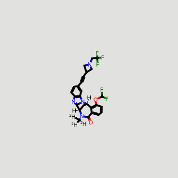 [2H]C([2H])([2H])N1C(=O)c2cccc(OC(F)F)c2[C@H]2C[C@@H]1c1nc3ccc(C#CC4CN(CC(F)(F)F)C4)cc3n12